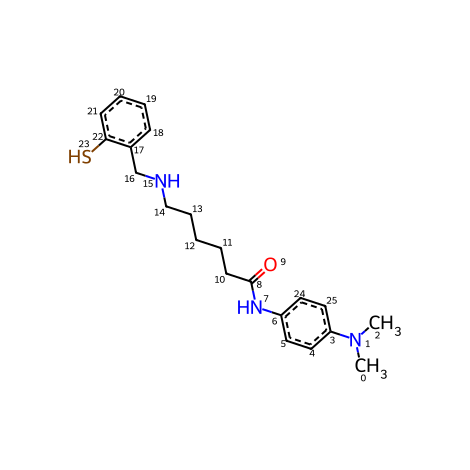 CN(C)c1ccc(NC(=O)CCCCCNCc2ccccc2S)cc1